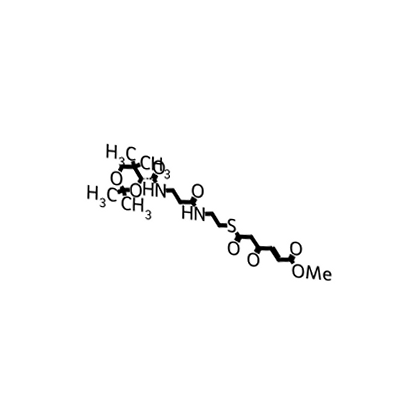 COC(=O)/C=C/C(=O)CC(=O)SCCNC(=O)CCNC(=O)[C@@H]1OC(C)(C)OCC1(C)C